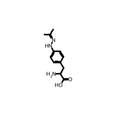 CC(C)=NNc1ccc(CC(N)C(=O)O)cc1